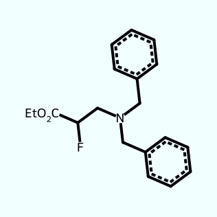 CCOC(=O)C(F)CN(Cc1ccccc1)Cc1ccccc1